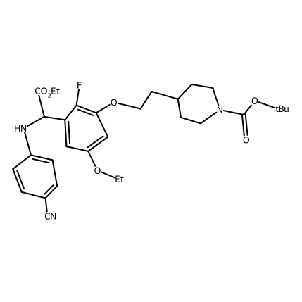 CCOC(=O)C(Nc1ccc(C#N)cc1)c1cc(OCC)cc(OCCC2CCN(C(=O)OC(C)(C)C)CC2)c1F